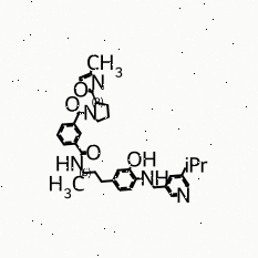 Cc1coc([C@H]2CCCN2C(=O)c2cccc(C(=O)N[C@@H](C)CCc3ccc(NCc4cncc(C(C)C)c4)c(O)c3)c2)n1